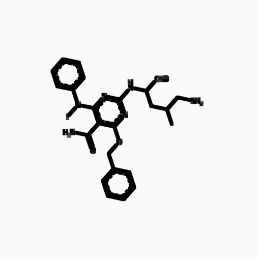 CC(CN)CC(C=O)Nc1nc(OCc2ccccc2)c(C(N)=O)c(N(I)c2ccccc2)n1